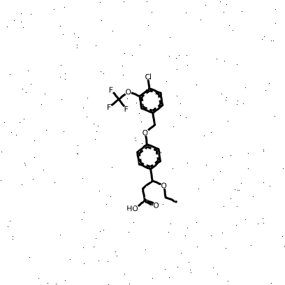 CCOC(CC(=O)O)c1ccc(OCc2ccc(Cl)c(OC(F)(F)F)c2)cc1